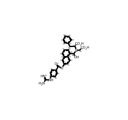 N=C(N)Nc1ccc(C(=O)Oc2ccc3c(C(O)N(CC(=O)O)[C@@H](Cc4ccccc4)C(=O)O)cccc3c2)cc1